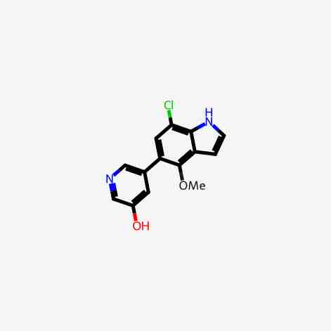 COc1c(-c2cncc(O)c2)cc(Cl)c2[nH]ccc12